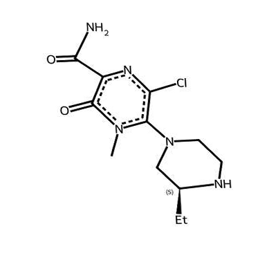 CC[C@H]1CN(c2c(Cl)nc(C(N)=O)c(=O)n2C)CCN1